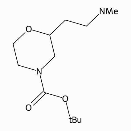 CNCCC1CN(C(=O)OC(C)(C)C)CCO1